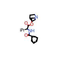 CC(C)C(NC(=O)c1ccccc1)C(=O)OC1CN2CCC1CC2